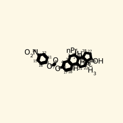 CCC[C@@H]1Cc2cc(OC(=O)Oc3ccc([N+](=O)[O-])cc3)ccc2[C@H]2CC[C@]3(C)[C@@H](O)CC[C@H]3[C@H]12